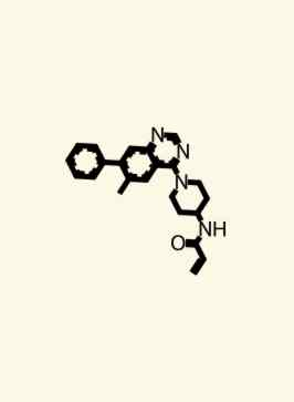 C=CC(=O)NC1CCN(c2ncnc3cc(-c4ccccc4)c(C)cc23)CC1